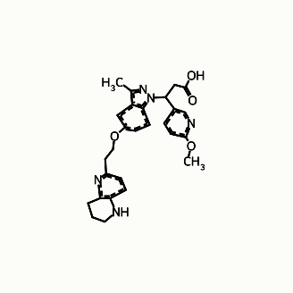 COc1ccc(C(CC(=O)O)n2nc(C)c3cc(OCCc4ccc5c(n4)CCCN5)ccc32)cn1